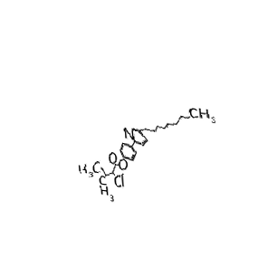 CCCCCCCCCc1ccc(-c2ccc(OC(=O)C(Cl)C(C)CC)cc2)nc1